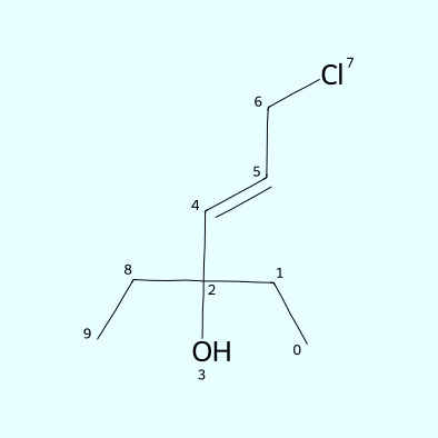 CCC(O)(/C=C/CCl)CC